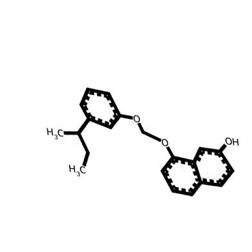 CCC(C)c1cccc(OCOc2cccc3ccc(O)cc23)c1